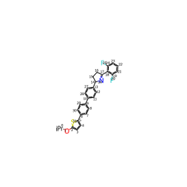 CC(C)Oc1ccc(-c2ccc(-c3ccc(C4CCC(c5c(F)cccc5F)=N4)cc3)cc2)s1